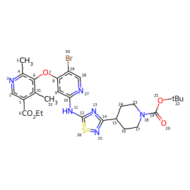 CCOC(=O)c1cnc(C)c(Oc2cc(Nc3nc(C4CCN(C(=O)OC(C)(C)C)CC4)ns3)ncc2Br)c1C